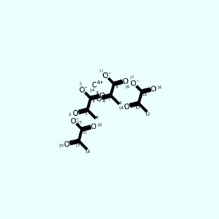 CC(=O)C(=O)[O-].CC(=O)C(=O)[O-].CC(=O)C(=O)[O-].CC(=O)C(=O)[O-].[C+4]